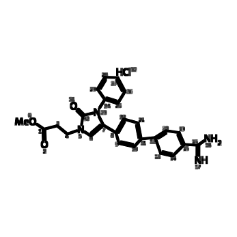 COC(=O)CCn1cc(-c2ccc(-c3ccc(C(=N)N)cc3)cc2)n(-c2ccccc2)c1=O.Cl